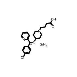 O=C(O)CCCN1CCC(O[C@@H](c2ccc(Cl)cc2)c2ccccn2)CC1.[SrH2]